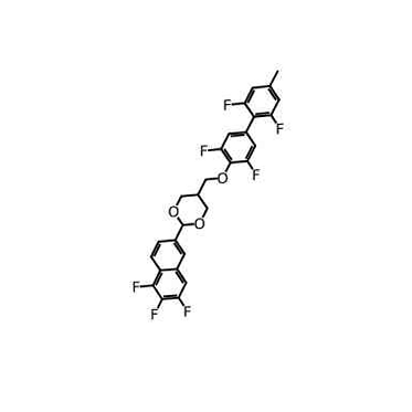 Cc1cc(F)c(-c2cc(F)c(OCC3COC(c4ccc5c(F)c(F)c(F)cc5c4)OC3)c(F)c2)c(F)c1